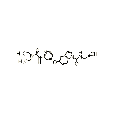 C#CCNC(=O)n1ccc2cc(Oc3ccnc(NC(=O)N(CC)CC)c3)ccc21